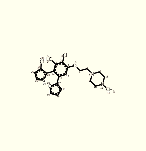 Cc1c(Cl)c(OCCN2CCN(C)CC2)cc(-c2ccco2)c1-c1sccc1Cl